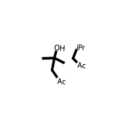 CC(=O)CC(C)(C)O.CC(=O)CC(C)C